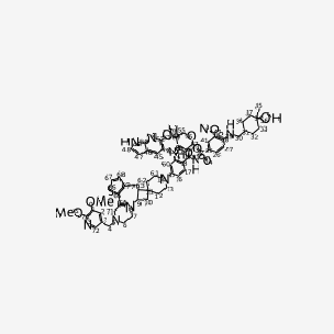 COc1cc(CN2CCN(C3CC4(CCN(c5ccc(C(=O)NS(=O)(=O)c6ccc(NCC7CCC(C)(O)CC7)c([N+](=O)[O-])c6)c(N6c7cc8cc[nH]c8nc7O[C@H]7COCC[C@@H]76)c5)CC4)C3)[C@H](c3sccc3C)C2)cnc1OC